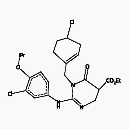 CCOC(=O)C1CN=C(Nc2ccc(OC(C)C)c(Cl)c2)N(CC2=CCC(Cl)CC2)C1=O